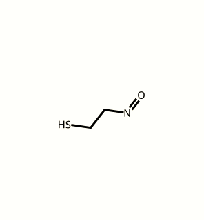 O=NCCS